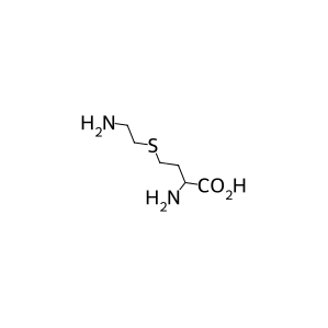 NCCSCCC(N)C(=O)O